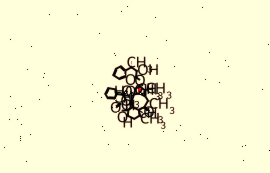 CC(=O)O[C@@]12CO[C@@H]1C[C@H](C)[C@@]1(C)C(=O)[C@H](C)C3=C(C)C(OC(=O)[C@H](O)[C@@H](C)c4ccccc4)C[C@@](O)([C@@H](OC(=O)c4ccccc4)[C@H]21)C3(C)C